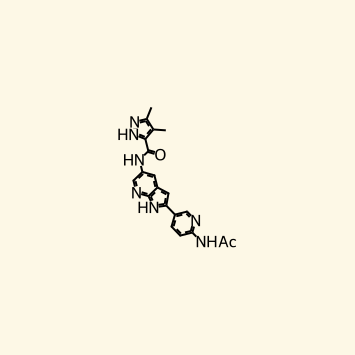 CC(=O)Nc1ccc(-c2cc3cc(NC(=O)c4[nH]nc(C)c4C)cnc3[nH]2)cn1